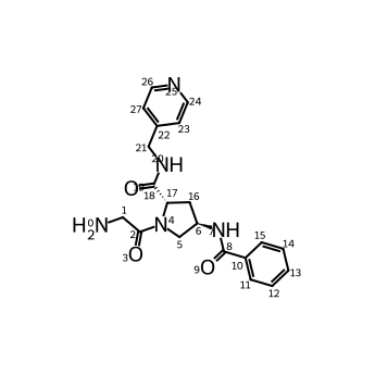 NCC(=O)N1C[C@H](NC(=O)c2ccccc2)C[C@H]1C(=O)NCc1ccncc1